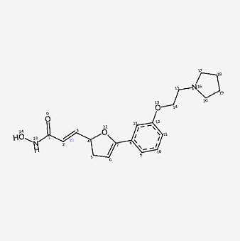 O=C(/C=C/C1CC=C(c2cccc(OCCN3CCCC3)c2)O1)NO